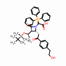 C[C@@H](O[Si](C)(C)C(C)(C)C)[C@H]1C(=O)N(C(C(=O)O)=P(c2ccccc2)(c2ccccc2)c2ccccc2)[C@@H]1CC(=O)c1ccc(CCO)cc1